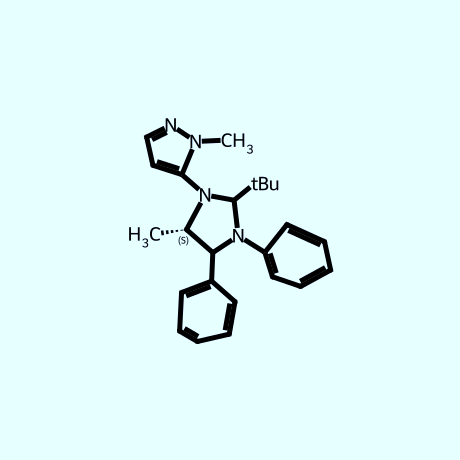 C[C@H]1C(c2ccccc2)N(c2ccccc2)C(C(C)(C)C)N1c1ccnn1C